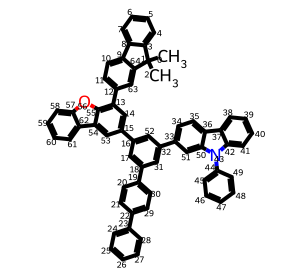 CC1(C)c2ccccc2-c2ccc(-c3cc(-c4cc(-c5ccc(-c6ccccc6)cc5)cc(-c5ccc6c7ccccc7n(-c7ccccc7)c6c5)c4)cc4c3oc3ccccc34)cc21